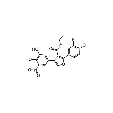 CCOC(=O)c1c(-c2cc(O)c(O)c([N+](=O)[O-])c2)coc1-c1cc[n+]([O-])c(F)c1